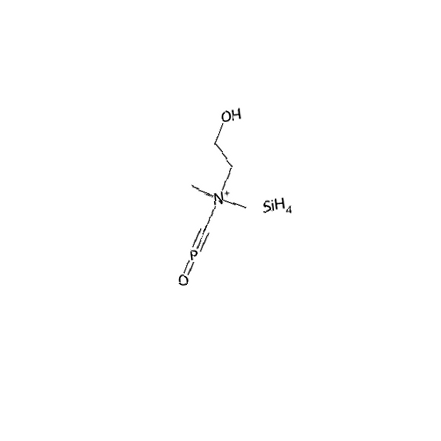 C[N+](C)(C#P=O)CCO.[SiH4]